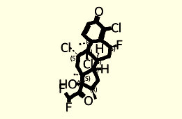 C[C@@H]1C[C@H]2[C@@H]3C[C@H](F)C4=C(Cl)C(=O)C=C[C@]4(C)[C@@]3(Cl)[C@@H](Cl)C[C@]2(C)[C@@]1(O)C(=O)C(F)F